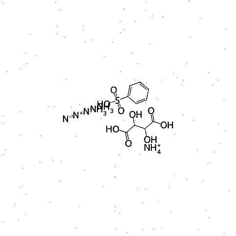 N.N.O=C(O)C(O)C(O)C(=O)O.O=S(=O)(O)c1ccccc1.[N-]=[N+]=[N-].[NH4+]